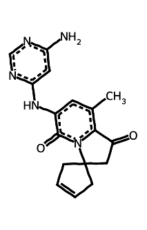 Cc1cc(Nc2cc(N)ncn2)c(=O)n2c1C(=O)CC21CC=CC1